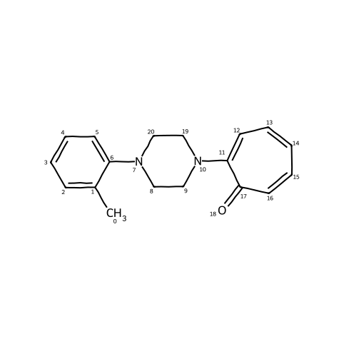 Cc1ccccc1N1CCN(c2cccccc2=O)CC1